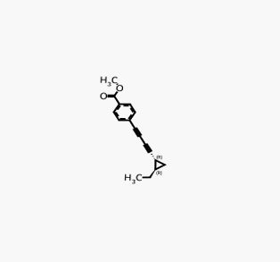 CC[C@@H]1C[C@H]1C#CC#Cc1ccc(C(=O)OC)cc1